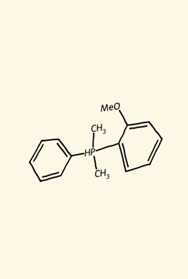 COc1ccccc1[PH](C)(C)c1ccccc1